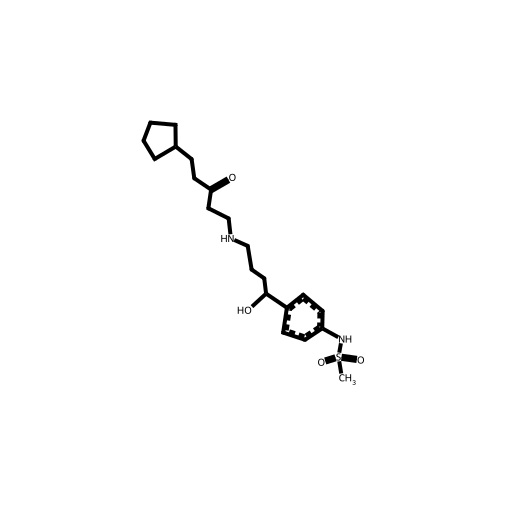 CS(=O)(=O)Nc1ccc(C(O)CCCNCCC(=O)CCC2CCCC2)cc1